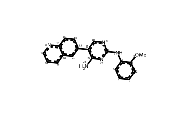 COc1ccccc1Nc1ncc(-c2ccc3ncccc3c2)c(N)n1